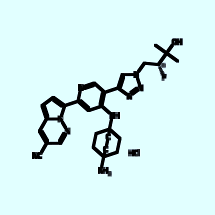 CC(C)(O)[C@H](F)Cn1cc(-c2cnc(-c3ccc4cc(C#N)cnn34)cc2NC23CCC(N)(CC2)CC3)nn1.Cl